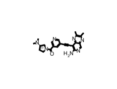 Cc1nc2cnc(N)c(C#Cc3cncc(C(=O)N4CC[C@H](N(C)C)C4)c3)c2nc1C